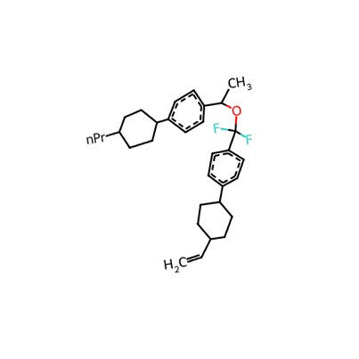 C=CC1CCC(c2ccc(C(F)(F)OC(C)c3ccc(C4CCC(CCC)CC4)cc3)cc2)CC1